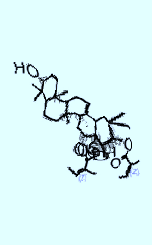 C/C=C(/C)C(=O)O[C@H]1[C@H](OC(=O)/C(C)=C\C)[C@@]2(CO)C(CC1(C)C)C1=CCC3[C@@]4(C)CC[C@H](O)C(C)(C)C4CC[C@@]3(C)[C@]1(C)C[C@H]2O